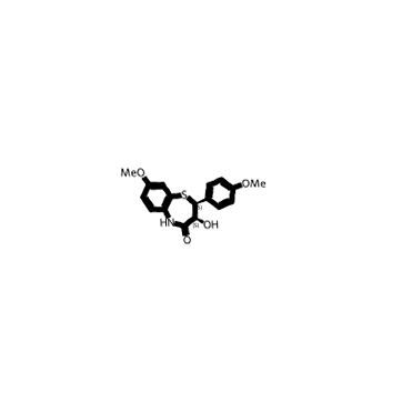 COc1ccc([C@@H]2Sc3cc(OC)ccc3NC(=O)[C@@H]2O)cc1